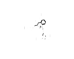 Cc1cccc2c1c(=O)c(CC(=O)O)nn2COCCS(C)(C)C